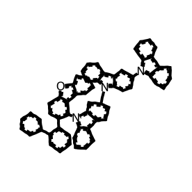 c1ccc(-c2ccccc2-c2ccc3oc4ccccc4c3c2-n2c3ccccc3c3ccc(-n4c5ccccc5c5cc(-n6c7ccccc7c7ccccc76)ccc54)cc32)cc1